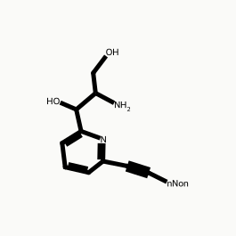 CCCCCCCCCC#Cc1cccc(C(O)C(N)CO)n1